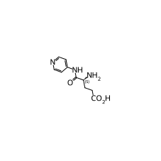 N[C@@H](CCC(=O)O)C(=O)Nc1ccncc1